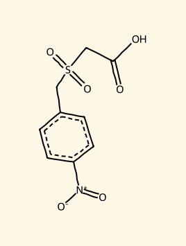 O=C(O)CS(=O)(=O)Cc1ccc([N+](=O)[O-])cc1